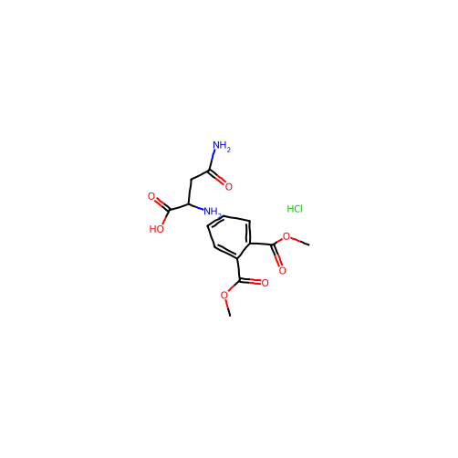 COC(=O)c1ccccc1C(=O)OC.Cl.NC(=O)CC(N)C(=O)O